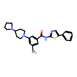 O=C(Nc1ncc(-c2ccccc2)s1)c1cc(N2CCC(N3CCCC3)CC2)cc(C(F)(F)F)c1